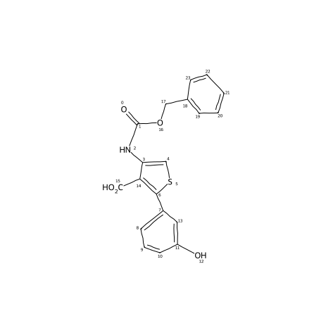 O=C(Nc1csc(-c2cccc(O)c2)c1C(=O)O)OCc1ccccc1